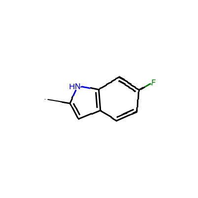 [CH2]c1cc2ccc(F)cc2[nH]1